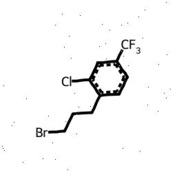 FC(F)(F)c1ccc(CCCBr)c(Cl)c1